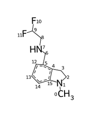 CN1CCc2c(CNCC(F)F)cccc21